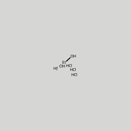 CCO.Cl.Cl.Cl.Cl.[Hf]